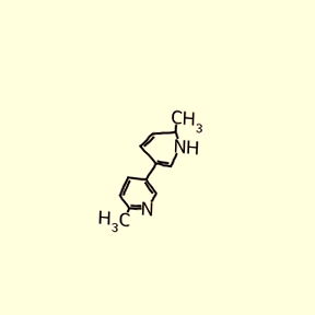 Cc1ccc(C2=CNC(C)C=C2)cn1